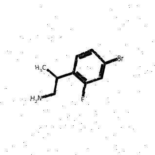 CC(CN)c1ccc(Br)cc1F